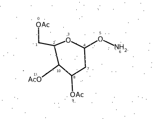 CC(=O)OCC1OC(ON)CC(OC(C)=O)C1OC(C)=O